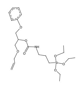 C=CCOCC(COc1ccccc1)OC(=O)NCCC[Si](OCC)(OCC)OCC